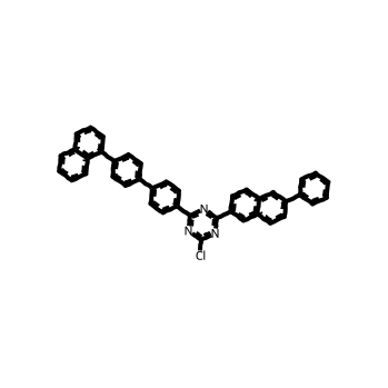 Clc1nc(-c2ccc(-c3ccc(-c4cccc5ccccc45)cc3)cc2)nc(-c2ccc3cc(-c4ccccc4)ccc3c2)n1